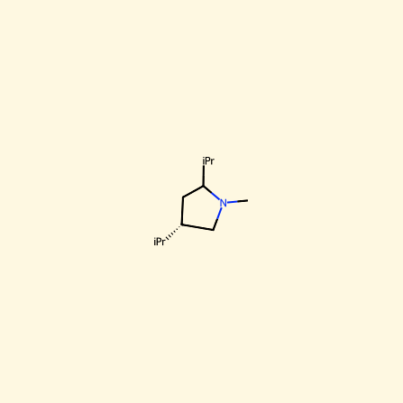 CC(C)C1C[C@@H](C(C)C)CN1C